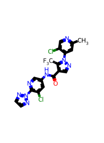 Cc1cc(-n2ncc(C(=O)Nc3cnc(-n4nccn4)c(Cl)c3)c2C(F)(F)F)c(Cl)cn1